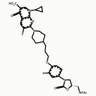 CC(=O)NC[C@H]1CN(c2ccc(OCCCC3CCN(c4nc5c(cc4F)c(=O)c(C(=O)O)cn5C4CC4)CC3)c(F)c2)C(=O)O1